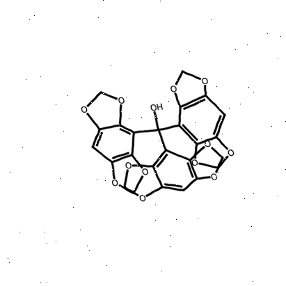 OC(c1c2c(cc3c1OCO3)OCO2)(c1c2c(cc3c1OCO3)OCO2)c1c2c(cc3c1OCO3)OCO2